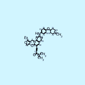 CCc1oncc1Cn1c(=O)c(C#CC(=O)N(C)C)cc2cnc(Nc3ccc(OC4CCN(C)CC4)cc3)nc21